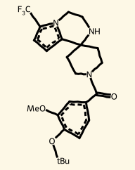 COc1cc(C(=O)N2CCC3(CC2)NCCn2c(C(F)(F)F)ccc23)ccc1OC(C)(C)C